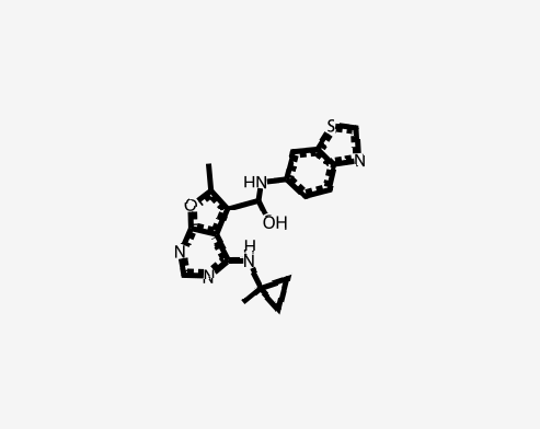 Cc1oc2ncnc(NC3(C)CC3)c2c1C(O)Nc1ccc2ncsc2c1